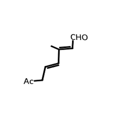 CC(=O)C/C=C/C(C)=C/C=O